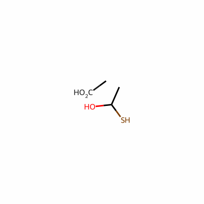 CC(=O)O.CC(O)S